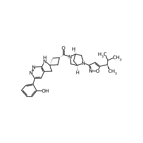 CC(C)[C@@H](C)c1cc(N2C[C@H]3C[C@@H]2CN3C(=O)[C@H]2C[C@@]3(Cc4cc(-c5ccccc5O)nnc4N3)C2)no1